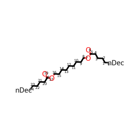 CCCCCCCCCCCCCCC(=O)OCCCCCCCCCOC(=O)CCCCCCCCCCCCCC